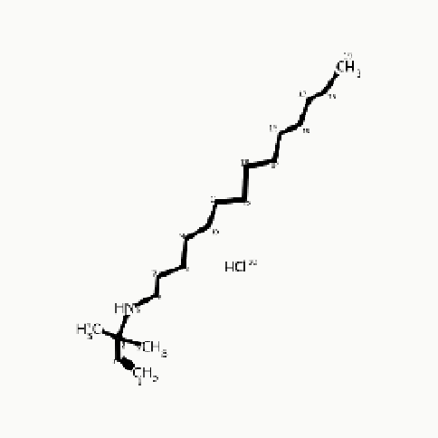 C=CC(C)(C)NCCCCCCCCCCCCCC.Cl